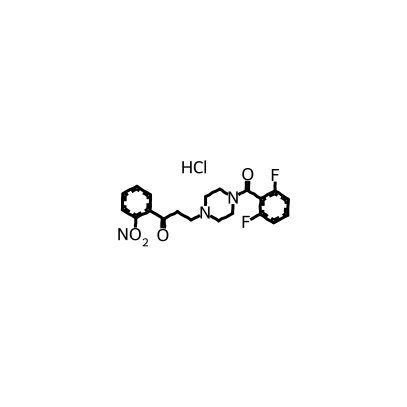 Cl.O=C(CCN1CCN(C(=O)c2c(F)cccc2F)CC1)c1ccccc1[N+](=O)[O-]